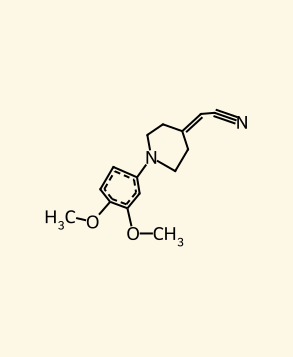 COc1ccc(N2CCC(=CC#N)CC2)cc1OC